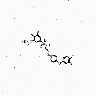 Cc1cc(Oc2ccc(SCCNS(=O)(=O)c3cc(C)c(C)c(C(=O)O)c3)cc2)ccc1F